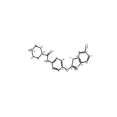 O=C(Nc1ccc(Oc2nc3ccc(Cl)cc3s2)cc1)N1CCNCC1